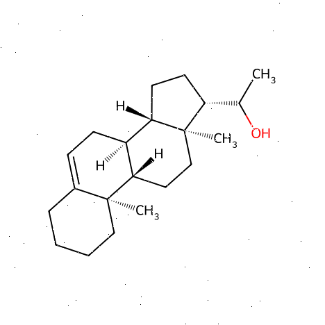 CC(O)[C@H]1CC[C@H]2[C@@H]3CC=C4CCCC[C@]4(C)[C@H]3CC[C@]12C